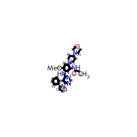 C=CC(=O)Nc1cc(Nc2cc(N3OCC[C@@H]3c3ccccc3)ncn2)c(OC)cc1N1CCC(N2CCOCC2)CC1